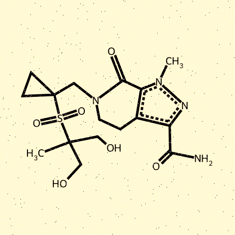 Cn1nc(C(N)=O)c2c1C(=O)N(CC1(S(=O)(=O)C(C)(CO)CO)CC1)CC2